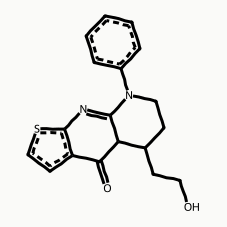 O=C1c2ccsc2N=C2C1C(CCO)CCN2c1ccccc1